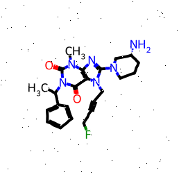 CC(c1ccccc1)n1c(=O)c2c(nc(N3CCC[C@@H](N)C3)n2CC#CCF)n(C)c1=O